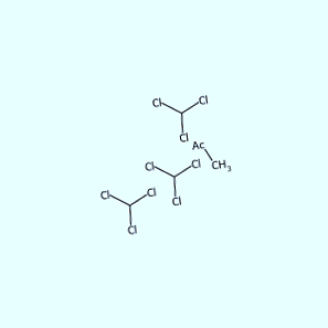 CC(C)=O.ClC(Cl)Cl.ClC(Cl)Cl.ClC(Cl)Cl